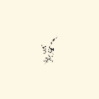 CCC#CCCCn1nc2c(c1C(=O)OCC)CN(C(=O)OC(C)(C)C)CC2